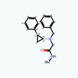 CC(C)(C)NC(=O)CN(Cc1ccccc1)[C@@H]1C[C@H]1c1ccccc1